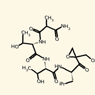 CC(C)C[C@H](NC(=O)[C@@H](NC(=O)[C@@H](NC(=O)C(C)C(N)=O)C(C)O)C(C)O)C(=O)C1(CO)CO1